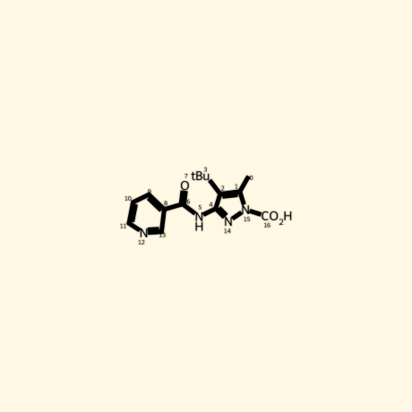 Cc1c(C(C)(C)C)c(NC(=O)c2cccnc2)nn1C(=O)O